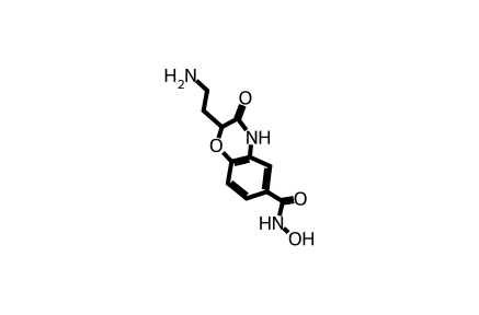 NCCC1Oc2ccc(C(=O)NO)cc2NC1=O